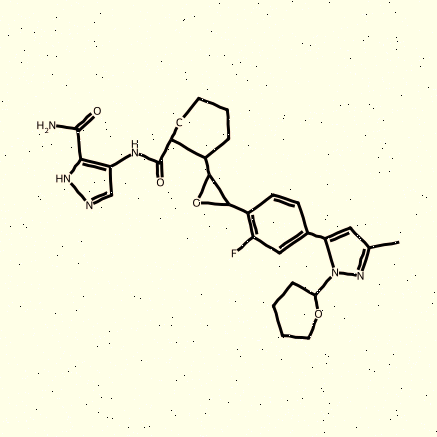 Cc1cc(-c2ccc(C3OC3C3CCCCC3C(=O)Nc3cn[nH]c3C(N)=O)c(F)c2)n(C2CCCCO2)n1